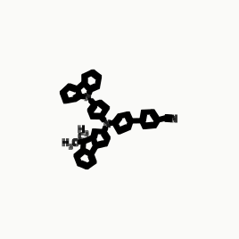 CC1(C)c2ccccc2-c2ccc(N(c3ccc(-c4ccc(C#N)cc4)cc3)c3ccc(-n4c5ccccc5c5ccccc54)cc3)cc21